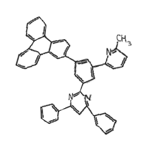 Cc1cccc(-c2cc(-c3ccc4c5ccccc5c5ccccc5c4c3)cc(-c3nc(-c4ccccc4)cc(-c4ccccc4)n3)c2)n1